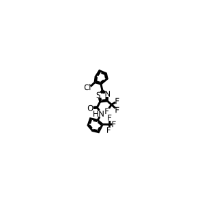 O=C(Nc1ccccc1C(F)(F)F)c1sc(-c2ccccc2Cl)nc1C(F)(F)F